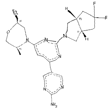 CC[C@H]1CN(c2cc(-c3cnc(N)nc3)nc(N3C[C@@H]4CC(F)(F)C[C@@H]4C3)n2)[C@@H](C)CO1